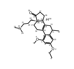 CCOc1cc(OC)c2c(c1)C(C)CC1=C2CC[C@]2(CCCN(C)C)C(=O)CC[C@@H]12